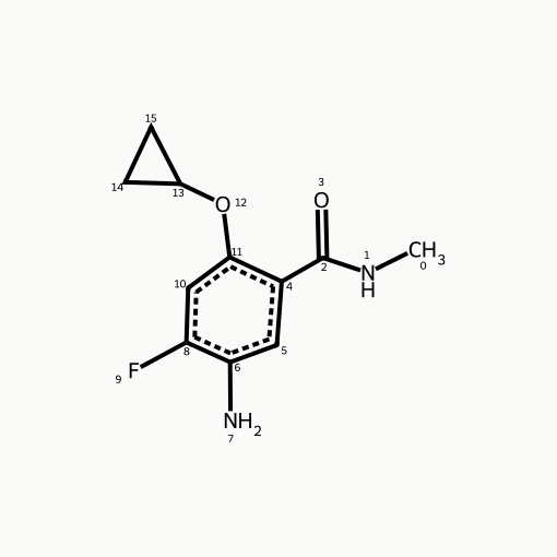 CNC(=O)c1cc(N)c(F)cc1OC1CC1